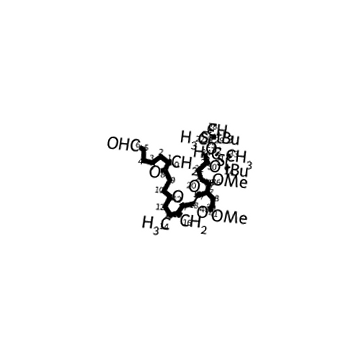 C=C1CC(CCC=O)OC1CCC1CC(C)C(=C)C(C[C@H]2OC(CC(CO[Si](C)(C)C(C)(C)C)O[Si](C)(C)C(C)(C)C)[C@H](OC)C2CC(=O)OC)O1